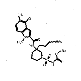 CC(=O)NCCCC1(NC(=O)c2cc3c(Cl)c(C)ccc3n2C)CCCN(S(=O)(=O)NC(=O)OC(C)(C)C)C1